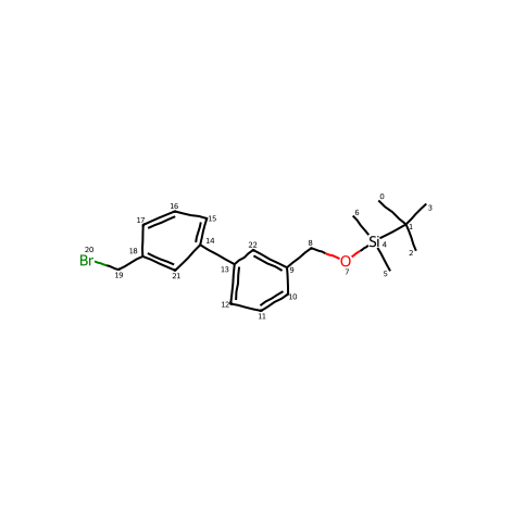 CC(C)(C)[Si](C)(C)OCc1cccc(-c2cccc(CBr)c2)c1